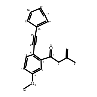 C=C(C)CC(=O)c1cc(OC)ccc1C#Cc1ccccc1